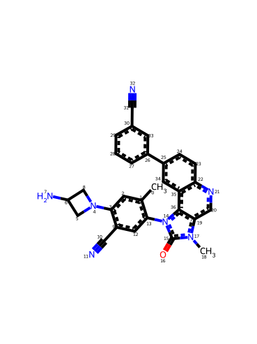 Cc1cc(N2CC(N)C2)c(C#N)cc1-n1c(=O)n(C)c2cnc3ccc(-c4cccc(C#N)c4)cc3c21